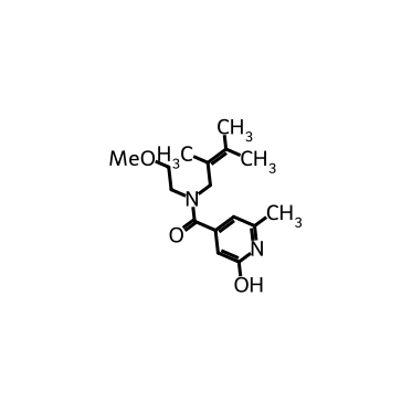 COCCN(CC(C)=C(C)C)C(=O)c1cc(C)nc(O)c1